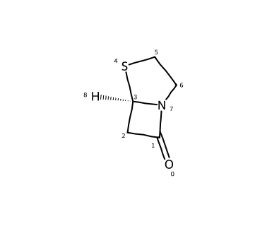 O=C1C[C@H]2SCCN12